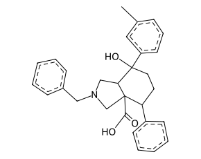 Cc1cccc(C2(O)CCC(c3ccccc3)C3(C(=O)O)CN(Cc4ccccc4)CC23)c1